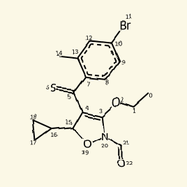 CCOC1=C(C(=S)c2ccc(Br)cc2C)C(C2CC2)ON1C=O